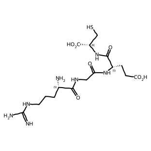 N=C(N)NCCC[C@H](N)C(=O)NCC(=O)N[C@@H](CCC(=O)O)C(=O)N[C@@H](CS)C(=O)O